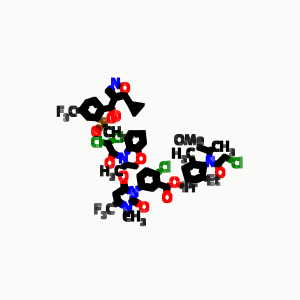 CC(C)OC(=O)c1cc(-n2c(=O)cc(C(F)(F)F)n(C)c2=O)ccc1Cl.CC1COc2ccccc2N1C(=O)C(Cl)Cl.CCc1cccc(C)c1N(C(=O)CCl)C(C)COC.CS(=O)(=O)c1cc(C(F)(F)F)ccc1C(=O)c1cnoc1C1CC1